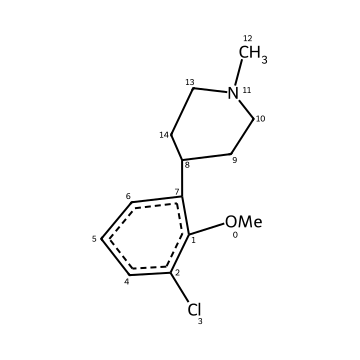 COc1c(Cl)cccc1C1CCN(C)CC1